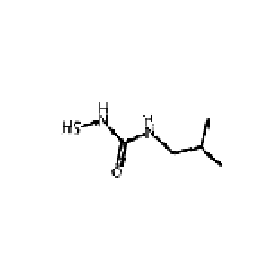 CC(C)CNC(=O)NS